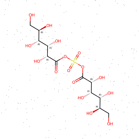 O=C(OS(=O)(=O)OC(=O)[C@H](O)[C@@H](O)[C@H](O)[C@H](O)CO)[C@H](O)[C@@H](O)[C@H](O)[C@H](O)CO